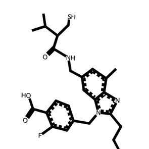 CCCc1nc2c(C)cc(CNC(=O)C(CS)C(C)C)cc2n1Cc1ccc(C(=O)O)c(F)c1